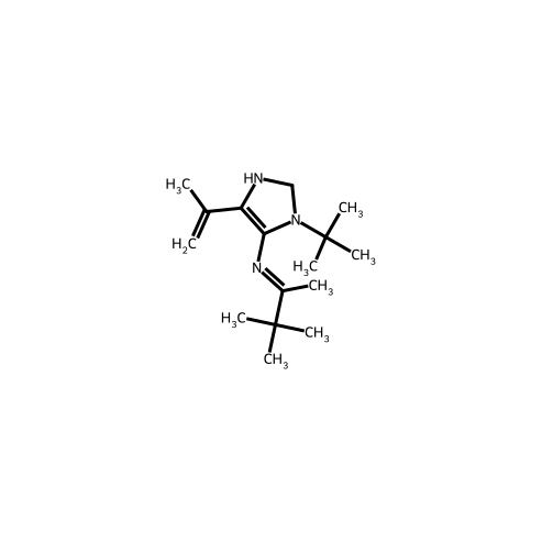 C=C(C)C1=C(/N=C(\C)C(C)(C)C)N(C(C)(C)C)CN1